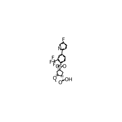 CO[C@H]1C[C@@H](S(=O)(=O)c2ccc(-c3ccc(F)cn3)cc2C(F)(F)F)C[C@@H]1C(=O)O